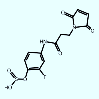 O=C(CCN1C(=O)C=CC1=O)Nc1ccc(OS(=O)O)c(F)c1